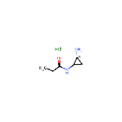 CCC(=O)NC1C[C@H]1N.Cl